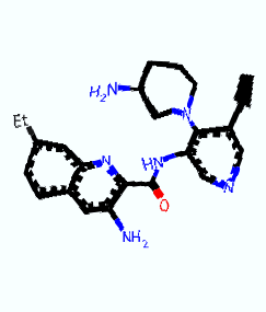 C#Cc1cncc(NC(=O)c2nc3cc(CC)ccc3cc2N)c1N1CCC[C@H](N)C1